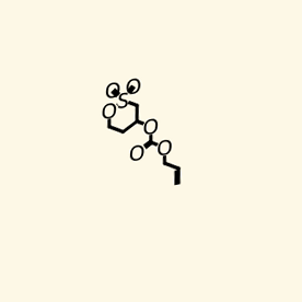 C=CCOC(=O)OC1CCOS(=O)(=O)C1